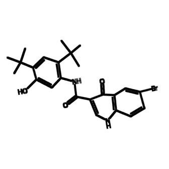 CC(C)(C)c1cc(C(C)(C)C)c(NC(=O)c2c[nH]c3ccc(Br)cc3c2=O)cc1O